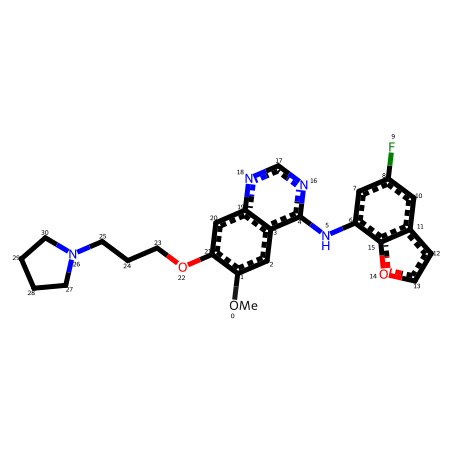 COc1cc2c(Nc3cc(F)cc4ccoc34)ncnc2cc1OCCCN1CCCC1